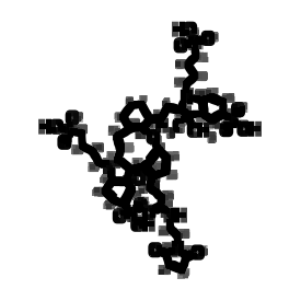 CC1(C)/C(=C\C=C2/CCCC3=C2Oc2ccc(CCC(=O)NCCN4C(=O)C=CC4=O)c(c2)C2(C)C(=[N+](CCCCS(=O)(=O)O)c4ccc(S(=O)(=O)O)cc42)/C=C/3)N(CCCCS(=O)(=O)O)c2ccc(S(=O)(=O)O)cc21